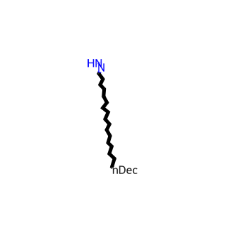 CCCCCCCCCCCCCCCCCCCCCCCCCCCN=N